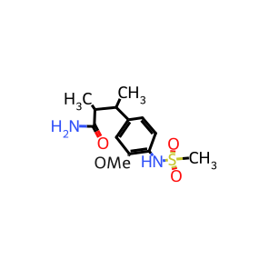 COc1cc(C(C)C(C)C(N)=O)ccc1NS(C)(=O)=O